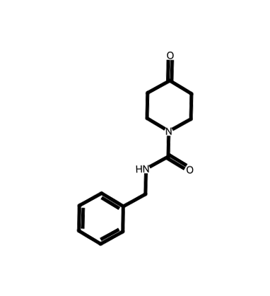 O=C1CCN(C(=O)NCc2ccccc2)CC1